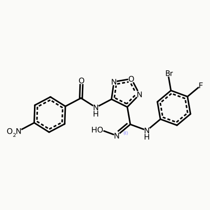 O=C(Nc1nonc1/C(=N\O)Nc1ccc(F)c(Br)c1)c1ccc([N+](=O)[O-])cc1